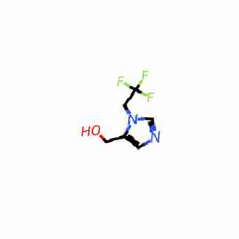 OCc1cncn1CC(F)(F)F